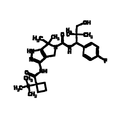 CC(C)(CO)C(NC(=O)N1Cc2c(NC(=O)C3(S(C)(C)C)CCC3)n[nH]c2C1(C)C)c1ccc(F)cc1